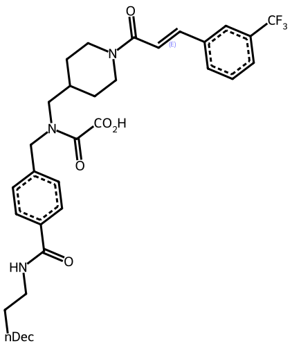 CCCCCCCCCCCCNC(=O)c1ccc(CN(CC2CCN(C(=O)/C=C/c3cccc(C(F)(F)F)c3)CC2)C(=O)C(=O)O)cc1